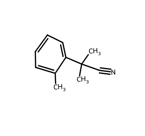 Cc1ccccc1C(C)(C)C#N